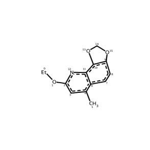 CCOc1cc(C)c2ccc3c(c2n1)OCO3